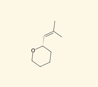 CC(C)=C[C@@H]1CCCCO1